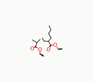 C=COC(=O)C(C)C.C=COC(=O)C(CC)CCCC